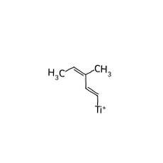 CC=C(C)C=[CH][Ti+]